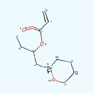 C=CC(=O)OC(CC)C[SiH]1CCCCO1